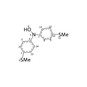 CSc1ccc(N(O)c2ccc(SC)cc2)cc1